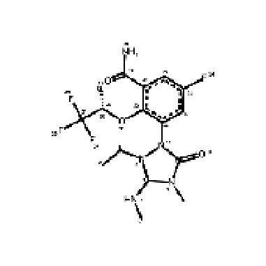 CCN1C(NC)N(C)C(=O)N1c1cc(F)cc(C(N)=O)c1O[C@@H](C)C(F)(F)F